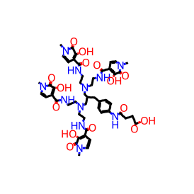 Cn1ccc(C(=O)NCCN(CCNC(=O)c2ccn(C)c(=O)c2O)CC(Cc2ccc(NC(=O)CCC(=O)O)cc2)CN(CCNC(=O)c2ccn(C)c(=O)c2O)CCNC(=O)c2ccn(C)c(=O)c2O)c(O)c1=O